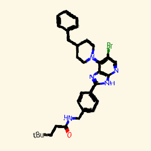 CC(C)(C)CCC(=O)NCc1ccc(-c2nc3c(N4CCC(Cc5ccccc5)CC4)c(Br)cnc3[nH]2)cc1